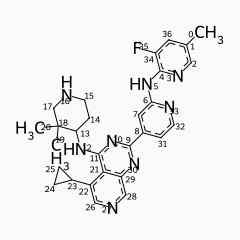 Cc1cnc(Nc2cc(-c3nc(NC4CCNCC4(C)C)c4c(C5CC5)cncc4n3)ccn2)c(F)c1